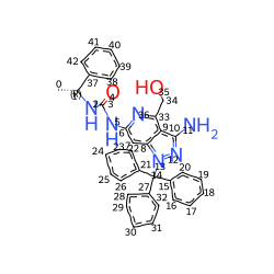 C[C@@H](NC(=O)Nc1cc2c(c(N)nn2C(c2ccccc2)(c2ccccc2)c2ccccc2)c(CO)n1)c1ccccc1